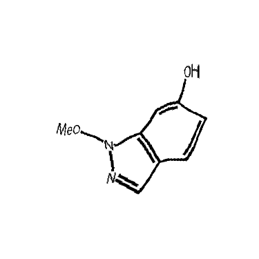 COn1ncc2ccc(O)cc21